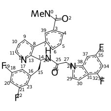 CNC(=O)c1cccc(-c2cccnc2[C@H](Cc2cc(F)cc(F)c2)NC(=O)Cn2ccc3c(F)cc(F)cc32)c1